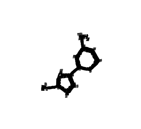 CC(C)c1nnc(-c2cccc(N)c2)o1